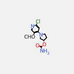 NC(=O)O[C@H]1CCN(c2cc(Cl)ncc2C=O)C1